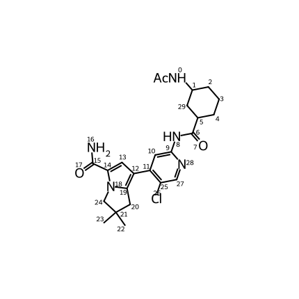 CC(=O)NC1CCCC(C(=O)Nc2cc(-c3cc(C(N)=O)n4c3CC(C)(C)C4)c(Cl)cn2)C1